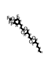 CCCCCC1COC(CCC2COC(CCc3cc(F)c(OC(F)F)c(F)c3)OC2)OC1